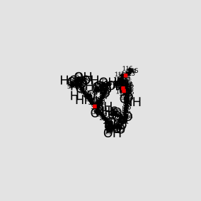 COP(=O)(S)OC[C@@H]1C[C@@H](OP(=O)(O)OC[C@@H]2C[C@@H](O)CN2C(=O)CCCCCNC(=O)[C@H](CCCCNC(=O)CCCCOC2OC(CO)C(O)C(O)C2NC(C)=O)NC(=O)CCCCOC2OC(CO)C(O)C(O)C2NC(C)=O)CN1C(=O)CCCCCNC(=O)OC1CC[C@@]2(C)C(=CC[C@@H]3[C@H]2CC[C@]2(C)C(C(C)CCCC(C)C)CC[C@H]32)C1